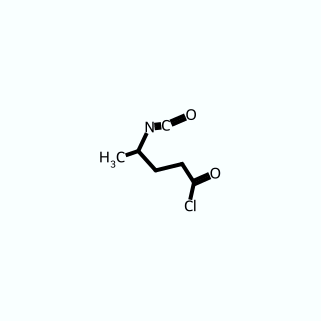 CC(CCC(=O)Cl)N=C=O